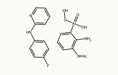 CC(=O)Nc1cccc([As](=O)(O)OO)c1N.Fc1ccc(Nc2ccccn2)cc1